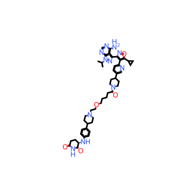 CC(C)n1nc(-c2noc(C3CC3)c2-c2ccc(C3CCN(C(=O)CCCCOCCN4CCC(c5ccc(N[C@@H]6CCC(=O)NC6=O)cc5)CC4)CC3)cn2)c2c(N)ncnc21